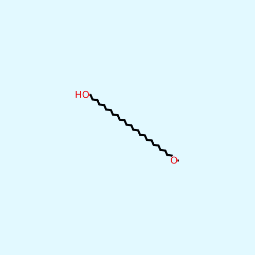 COCCCCCCCCCCCCCCCCCCCCCCCCCO